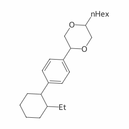 CCCCCCC1COC(c2ccc(C3CCCCC3CC)cc2)CO1